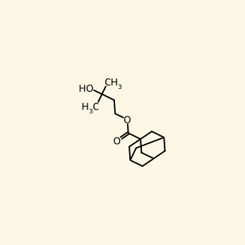 CC(C)(O)CCOC(=O)C12CC3CC(CC(C3)C1)C2